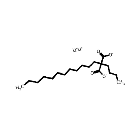 CCCCCCCCCCCCC(CCCC)(C(=O)[O-])C(=O)[O-].[Li+].[Li+]